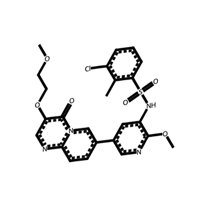 COCCOc1cnc2ccc(-c3cnc(OC)c(NS(=O)(=O)c4cccc(Cl)c4C)c3)cn2c1=O